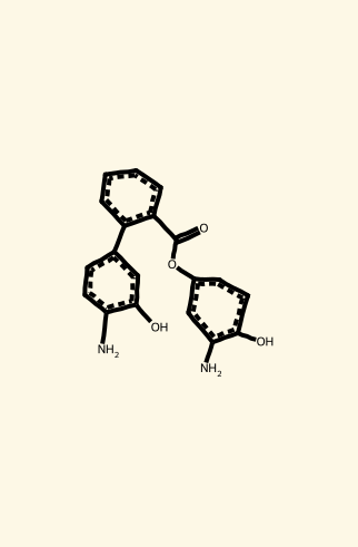 Nc1cc(OC(=O)c2ccccc2-c2ccc(N)c(O)c2)ccc1O